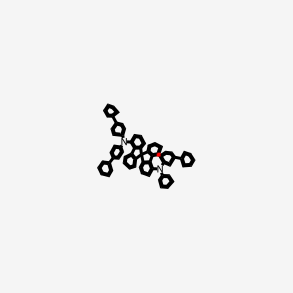 c1ccc(-c2ccc(N(c3ccc(-c4ccccc4)cc3)c3cccc4c3-c3ccccc3C43c4ccccc4-c4c(N(c5ccccc5)c5cccc(-c6ccccc6)c5)cccc43)cc2)cc1